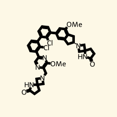 COc1cc(-c2cccc(-c3cccc(-c4cnc(CN5CC6(CCC(=O)N6)C5)c(OC)n4)c3Cl)c2Cl)cc2c1C[C@H](N1CC3(CCC(=O)N3)C1)C2